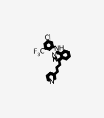 FC(F)(F)c1cc(Cl)cc(Nc2nnc(CCCc3cccnc3)c3ccccc23)c1